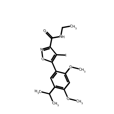 CCNC(=O)c1noc(-c2cc(C(C)C)c(OC)cc2OC)c1I